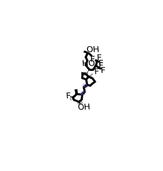 C=C1/C(=C\C=C2/CCC[C@@]3(C)C2CC[C@@H]3C(CCCC(C)(C)O)CC(O)(C(F)(F)F)C(F)(F)F)C[C@@H](O)C[C@@H]1F